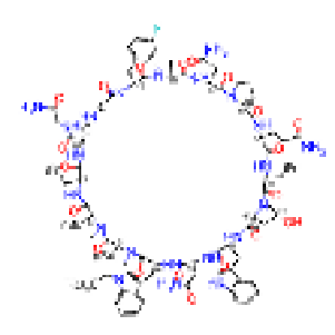 CCCC[C@H]1C(=O)N(C)[C@@H](CCCC)C(=O)N[C@@H](CC(C)C)C(=O)N[C@H](C(=O)NCC(N)=O)CNCC(=O)N[C@@H](Cc2ccc(F)cc2)C(=O)N(C)[C@@H](C)C(=O)N[C@@H](CC(N)=O)C(=O)N2CCC[C@H]2C(=O)N[C@@H](CCC(N)=O)C(=O)N[C@@H](CC(C)C)C(=O)N2C[C@H](O)C[C@H]2C(=O)N[C@@H](Cc2c[nH]c3ccccc23)C(=O)N[C@@H](CC(N)=O)C(=O)N[C@@H](Cc2cn(CC(=O)O)c3ccccc23)C(=O)N1C